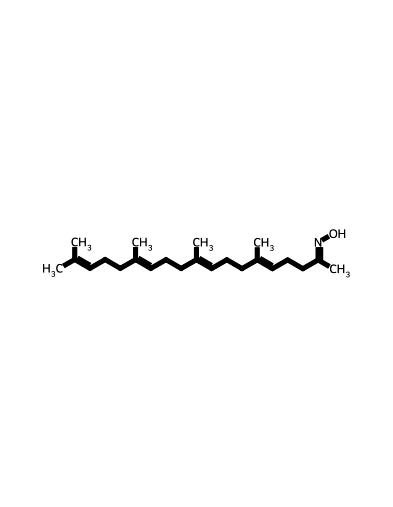 CC(C)=CCC/C(C)=C/CC/C(C)=C/CC/C(C)=C/CCC(C)=NO